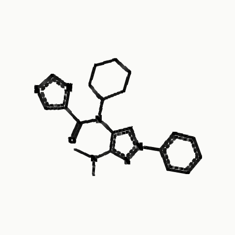 CN(C)c1nn(-c2ccccc2)cc1N(C(=O)c1cscn1)C1CCCCC1